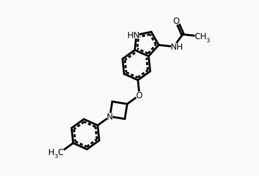 CC(=O)Nc1c[nH]c2ccc(OC3CN(c4ccc(C)cc4)C3)cc12